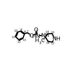 CC1(NNC(=O)OCc2ccccc2)CCNCC1